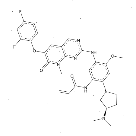 C=CC(=O)Nc1cc(Nc2ncc3cc(Oc4ccc(F)cc4F)c(=O)n(C)c3n2)c(OC)cc1N1CC[C@@H](N(C)C)C1